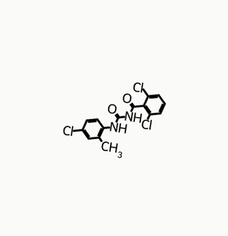 Cc1cc(Cl)ccc1NC(=O)NC(=O)c1c(Cl)cccc1Cl